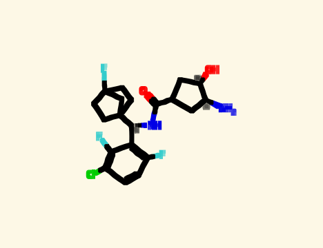 N[C@H]1CC(C(=O)N[C@H](c2c(F)ccc(Cl)c2F)C23CCC(F)(CC2)C3)C[C@H]1O